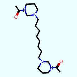 CC(=O)N1CCCN(CCCCCCCCN2CCCN(C(C)=O)C2)C1